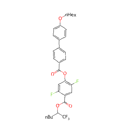 CCCCCCOc1ccc(-c2ccc(C(=O)Oc3cc(F)c(C(=O)OC(CCCC)C(F)(F)F)cc3F)cc2)cc1